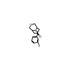 O=C1CC2COCC(C1)N2Cc1cccc(F)c1